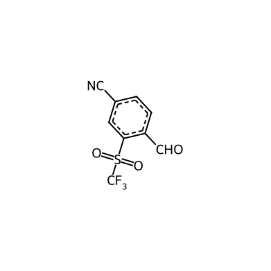 N#Cc1ccc(C=O)c(S(=O)(=O)C(F)(F)F)c1